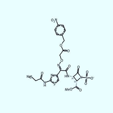 COC(=O)[C@@H]1[C@H](NC(=O)C(=NOCC(=O)OCc2ccc([N+](=O)[O-])cc2)c2csc(NC(=O)CCl)n2)C(=O)N1S(=O)(=O)[O-].[Na+]